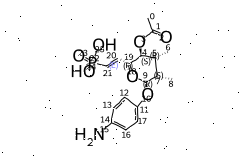 CC(=O)O[C@H]1[C@H](C)[C@H](C)[C@@H](Oc2ccc(N)cc2)O[C@@H]1/C=C/P(=O)(O)O